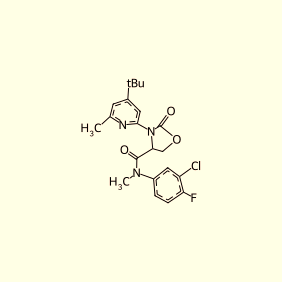 Cc1cc(C(C)(C)C)cc(N2C(=O)OCC2C(=O)N(C)c2ccc(F)c(Cl)c2)n1